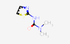 CN(C)C(=O)Nc1nccs1